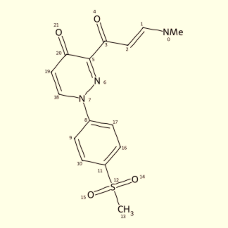 CNC=CC(=O)c1nn(-c2ccc(S(C)(=O)=O)cc2)ccc1=O